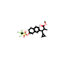 COC(=O)C(C)C(c1ccc2c(c1)C=C(OS(=O)(=O)C(F)(F)F)CC2)C1CC1